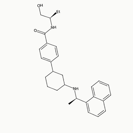 CC[C@H](CO)NC(=O)c1ccc(C2CCCC(N[C@H](C)c3cccc4ccccc34)C2)cc1